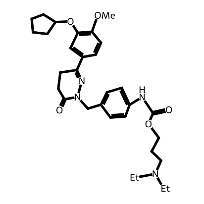 CCN(CC)CCCOC(=O)Nc1ccc(CN2N=C(c3ccc(OC)c(OC4CCCC4)c3)CCC2=O)cc1